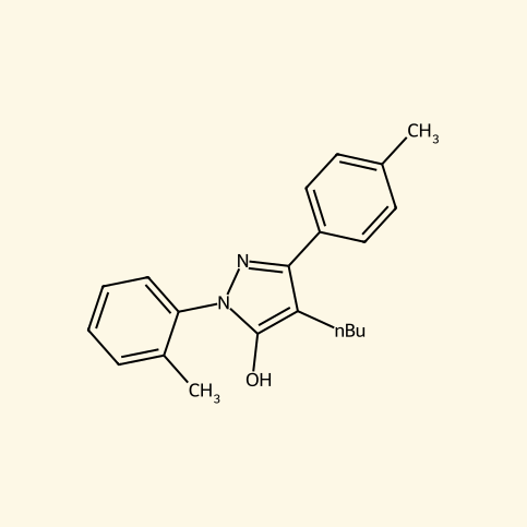 CCCCc1c(-c2ccc(C)cc2)nn(-c2ccccc2C)c1O